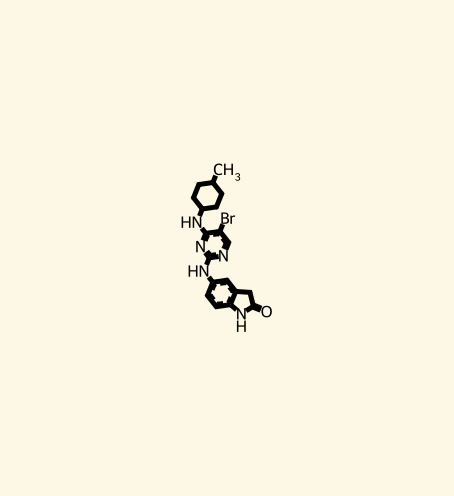 CC1CCC(Nc2nc(Nc3ccc4c(c3)CC(=O)N4)ncc2Br)CC1